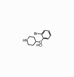 Brc1ccccc1OC1CCNCC1.Cl